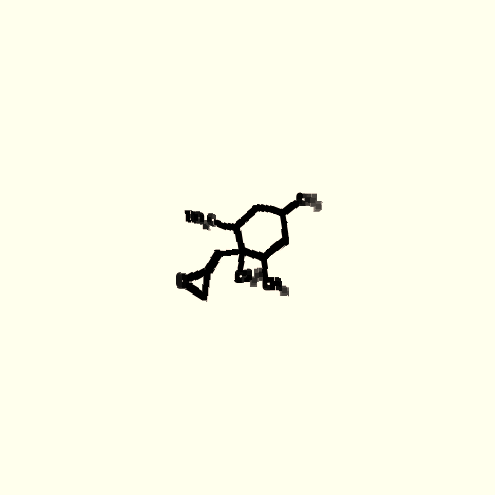 CC1CC(C)C(CC2CO2)(C(=O)O)C(C(=O)O)C1